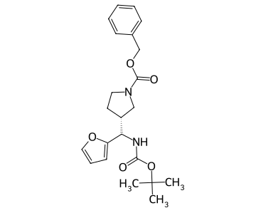 CC(C)(C)OC(=O)NC(c1ccco1)[C@@H]1CCN(C(=O)OCc2ccccc2)C1